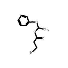 CC(OC(=O)CCBr)Oc1ccccc1